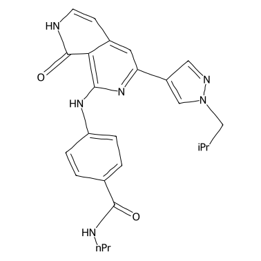 CCCNC(=O)c1ccc(Nc2nc(-c3cnn(CC(C)C)c3)cc3cc[nH]c(=O)c23)cc1